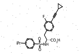 CC(C)c1ccc(S(=O)(=O)N[C@H](Cc2ccc(C#CC3CC3)c(F)c2)C(=O)O)cc1